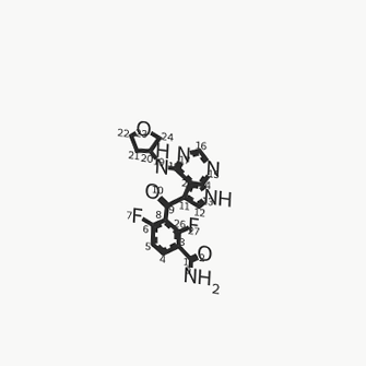 NC(=O)c1ccc(F)c(C(=O)c2c[nH]c3ncnc(NC4CCOC4)c23)c1F